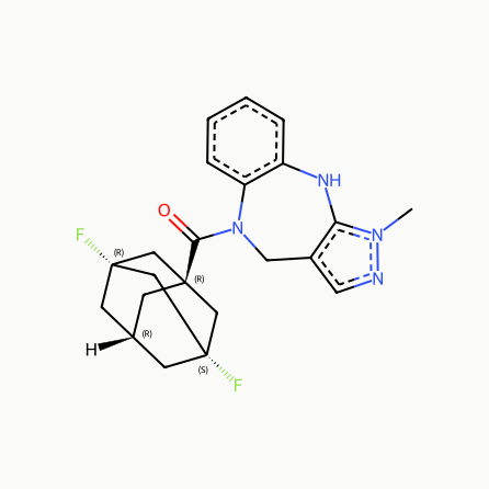 Cn1ncc2c1Nc1ccccc1N(C(=O)[C@@]13C[C@@H]4C[C@@](F)(C[C@@](F)(C4)C1)C3)C2